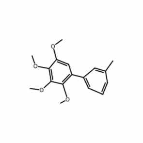 COc1cc(-c2cccc(C)c2)c(OC)c(OC)c1OC